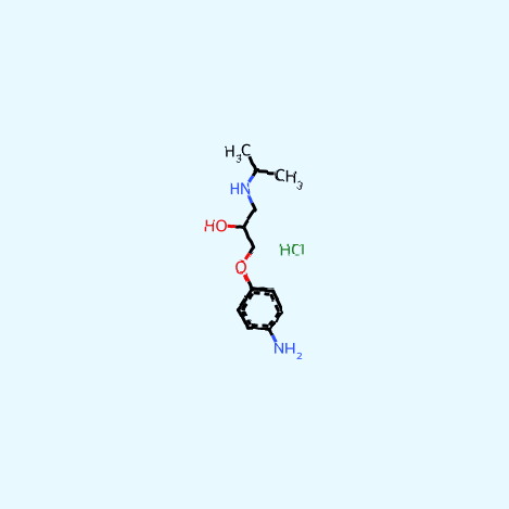 CC(C)NCC(O)COc1ccc(N)cc1.Cl